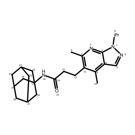 Cc1nc2c(cnn2C(C)C)c(C)c1CCC(=O)NC12CC3CC(CC(C3)C1)C2